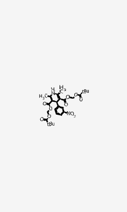 CC1=C(C(=O)OCOC(=O)C(C)(C)C)C(c2cccc([N+](=O)[O-])c2)C(C(=O)OCOC(=O)C(C)(C)C)=C(C)N1